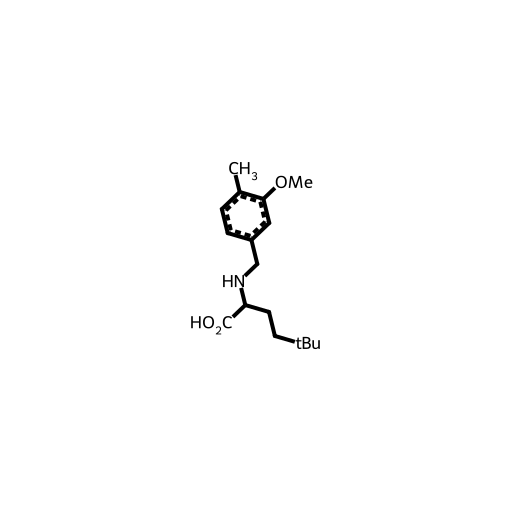 COc1cc(CNC(CCC(C)(C)C)C(=O)O)ccc1C